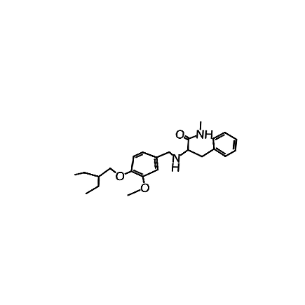 CCC(CC)COc1ccc(CNC(Cc2ccccc2)C(=O)NC)cc1OC